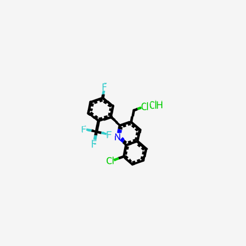 Cl.Fc1ccc(C(F)(F)F)c(-c2nc3c(Cl)cccc3cc2CCl)c1